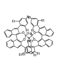 CCc1cc(CC)c(-c2cc3ccccc3c3c2OP(=O)(NP2(=O)Oc4c(-c5c(CC)cc(CC)cc5CC)cc5ccccc5c4-c4c(c(-c5c(CC)cc(CC)cc5CC)cc5ccccc45)O2)Oc2c(-c4c(CC)cc(CC)cc4CC)cc4ccccc4c2-3)c(CC)c1